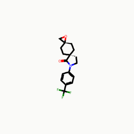 O=C1N(c2ccc(C(F)(F)F)cc2)CC[C@]12CC[C@@]1(CC2)CO1